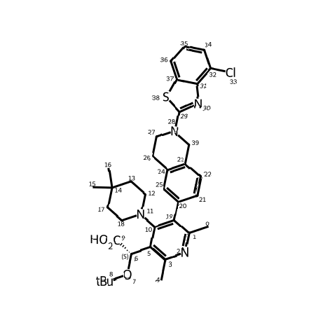 Cc1nc(C)c([C@H](OC(C)(C)C)C(=O)O)c(N2CCC(C)(C)CC2)c1-c1ccc2c(c1)CCN(c1nc3c(Cl)cccc3s1)C2